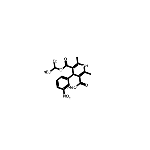 CCCCC(CC)OC(=O)C1=C(C)NC(C)=C(C(=O)OC)C1c1cccc([N+](=O)[O-])c1